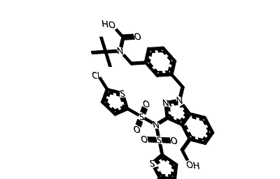 CC(C)(C)N(Cc1cccc(Cn2nc(N(S(=O)(=O)c3ccc(Cl)s3)S(=O)(=O)c3ccc(Cl)s3)c3c(CO)cccc32)c1)C(=O)O